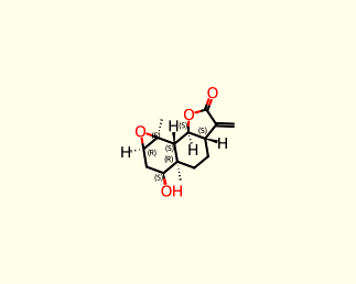 C=C1C(=O)O[C@@H]2[C@@H]3[C@@](C)(CC[C@@H]12)[C@@H](O)C[C@H]1O[C@@]31C